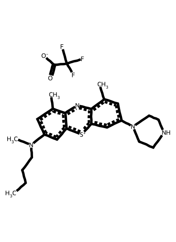 CCCCN(C)c1cc(C)c2nc3c(C)cc(N4CCNCC4)cc3[s+]c2c1.O=C([O-])C(F)(F)F